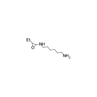 CCC1OC1NCCCCCCN